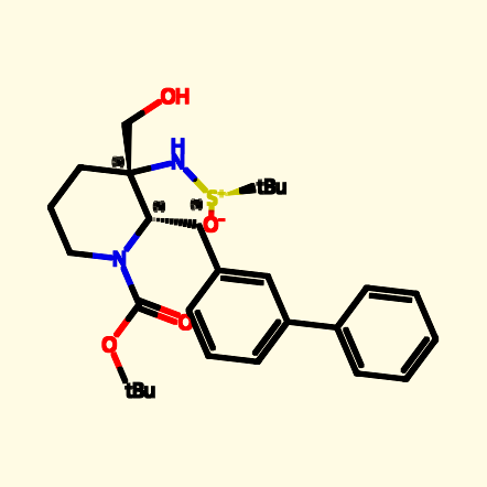 CC(C)(C)OC(=O)N1CCC[C@](CO)(N[S@+]([O-])C(C)(C)C)[C@@H]1Cc1cccc(-c2ccccc2)c1